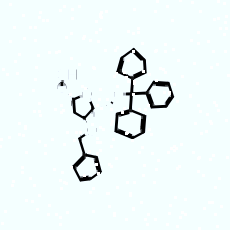 CO[C@@H]1C[C@H](OCc2ccccc2)[C@@H](COC(c2ccccc2)(c2ccccc2)c2ccccc2)O1